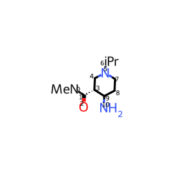 CNC(=O)[C@@H]1CN(C(C)C)CCC1N